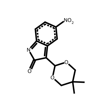 CC1(C)COC(C2=c3cc([N+](=O)[O-])ccc3=NC2=O)OC1